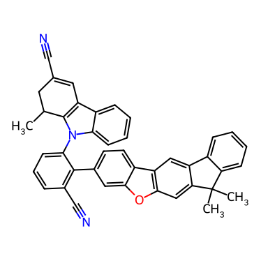 CC1CC(C#N)=Cc2c1n(-c1cccc(C#N)c1-c1ccc3c(c1)oc1cc4c(cc13)-c1ccccc1C4(C)C)c1ccccc21